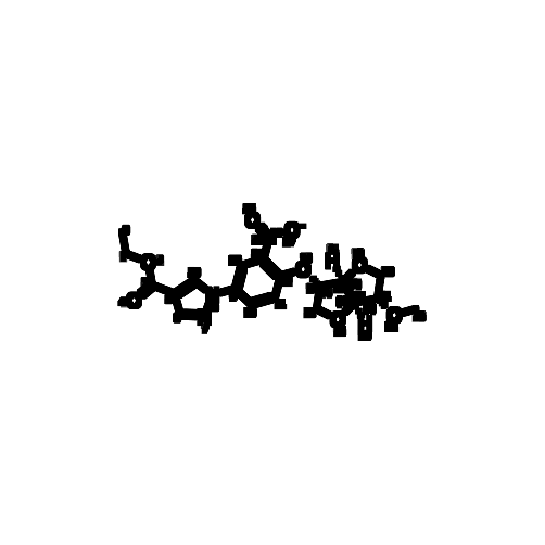 CCOC(=O)c1cnn(-c2ccc(O[C@H]3CO[C@H]4[C@@H]3OC[C@@H]4OC)c([N+](=O)[O-])c2)c1